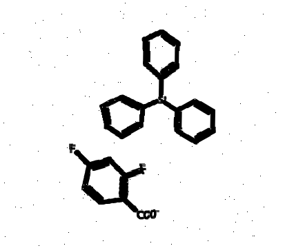 O=C([O-])c1ccc(F)cc1F.c1ccc([S+](c2ccccc2)c2ccccc2)cc1